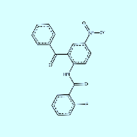 O=C(Nc1ccc([N+](=O)[O-])cc1C(=O)c1ccccc1)c1ccccc1F